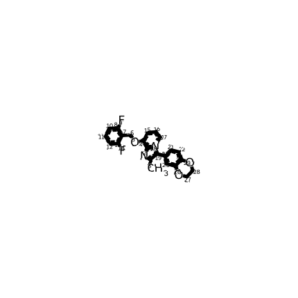 Cc1nc2c(OCc3c(F)cccc3F)cccn2c1-c1ccc2c(c1)OCCO2